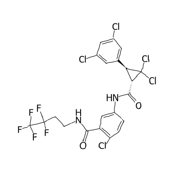 O=C(NCCC(F)(F)C(F)(F)F)c1cc(NC(=O)[C@@H]2[C@@H](c3cc(Cl)cc(Cl)c3)C2(Cl)Cl)ccc1Cl